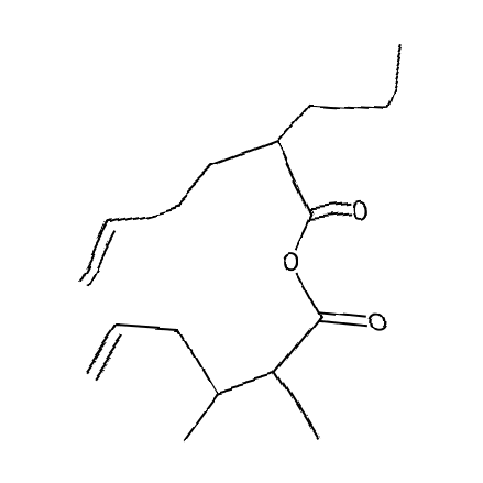 C=CCCC(CCC)C(=O)OC(=O)C(C)C(C)CC=C